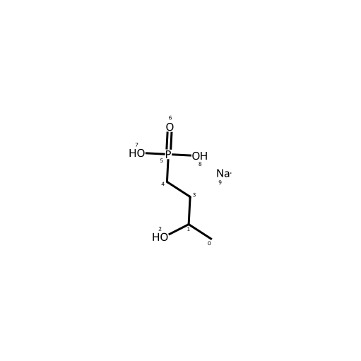 CC(O)CCP(=O)(O)O.[Na]